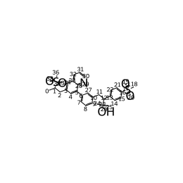 CC(Cc1cc(-c2cccc(CC(c3ccc(S(C)(=O)=O)cc3)C(C)(C)O)c2)c2ncccc2c1)S(C)(=O)=O